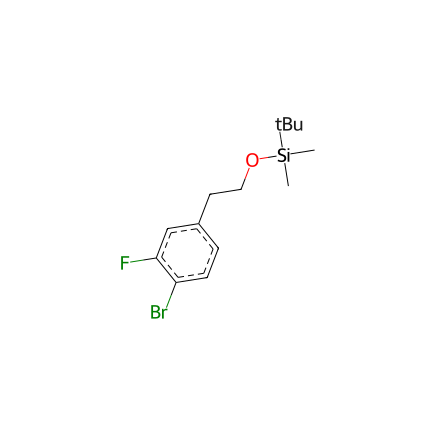 CC(C)(C)[Si](C)(C)OCCc1ccc(Br)c(F)c1